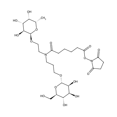 C[C@@H]1O[C@@H](OCCN(CCCO[C@H]2O[C@H](CO)[C@@H](O)[C@H](O)[C@@H]2O)C(=O)CCCCC(=O)ON2C(=O)CCC2=O)[C@@H](O)[C@H](O)[C@@H]1O